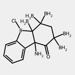 BC1(B)CC(B)(B)C2(B)B(Cl)c3ccccc3C2(N)C1=O